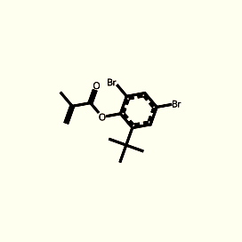 C=C(C)C(=O)Oc1c(Br)cc(Br)cc1C(C)(C)C